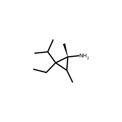 CCC1(C(C)C)C(C)[C@@]1(C)N